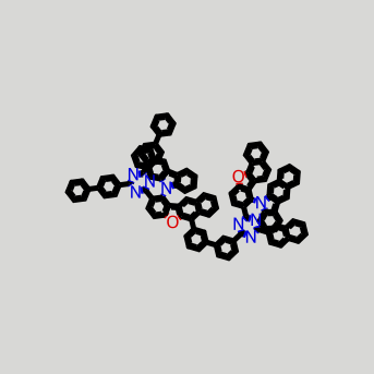 c1ccc(-c2ccc(-c3nc(-c4ccc(-c5ccccc5)cc4)nc(-c4ccc5oc6c(-c7cccc(-c8cccc(-c9nc(-c%10ccc%11ccccc%11c%10)nc(-c%10ccc%11oc%12c%13ccccc%13ccc%12c%11c%10-n%10c%11ccccc%11c%11cc%12ccccc%12cc%11%10)n9)c8)c7)c7ccccc7cc6c5c4-n4c5ccccc5c5cc6ccccc6cc54)n3)cc2)cc1